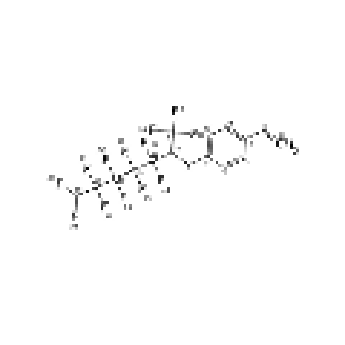 C=Cc1ccc(CC(C(F)(F)F)C(F)(F)C(F)(F)C(F)(F)C(F)(F)C(F)F)cc1